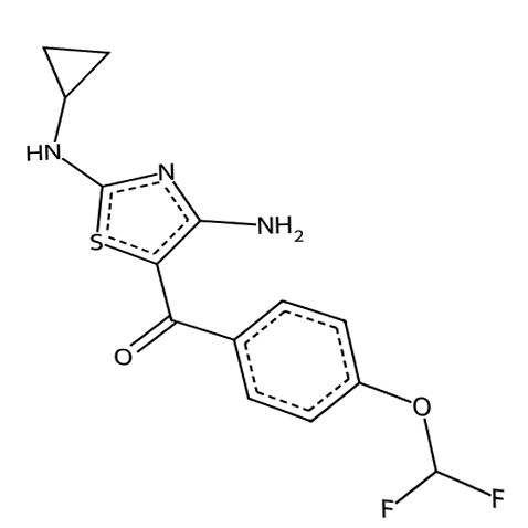 Nc1nc(NC2CC2)sc1C(=O)c1ccc(OC(F)F)cc1